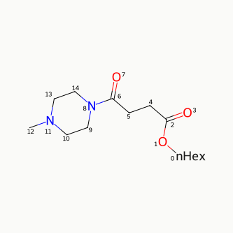 CCCCCCOC(=O)CCC(=O)N1CCN(C)CC1